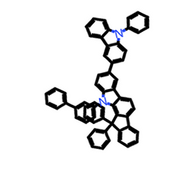 c1ccc(-c2cccc(-n3c4ccc(-c5ccc6c(c5)c5ccccc5n6-c5ccccc5)cc4c4ccc5c(c43)C(c3ccccc3)(c3ccccc3)c3ccccc3-5)c2)cc1